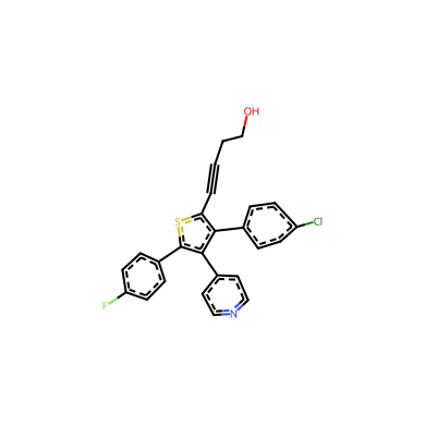 OCCC#Cc1sc(-c2ccc(F)cc2)c(-c2ccncc2)c1-c1ccc(Cl)cc1